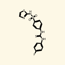 O=S(=O)(Nc1nccs1)c1ccc(NC(=S)Nc2ccc(F)cc2)cc1